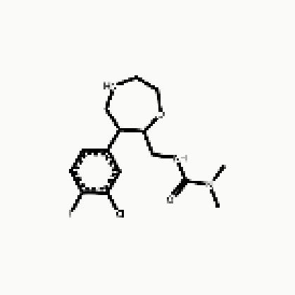 CN(C)C(=O)NCC1OCCNCC1c1ccc(I)c(Cl)c1